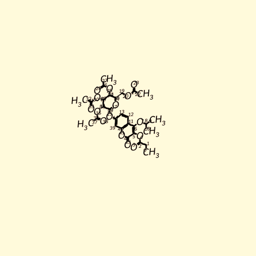 CCC(=O)Oc1c(OC(C)C)c2ccc(O[C@@H]3O[C@H](COC(C)=O)[C@H](OC(C)=O)[C@H](OC(C)=O)[C@H]3OC(C)=O)cc2oc1=O